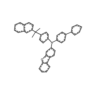 CC(C)(c1ccc(N(c2ccc(-c3ccccc3)cc2)c2ccc3c(c2)oc2ccccc23)cc1)c1ccc2ccccc2c1